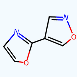 [c]1coc(-c2cnoc2)n1